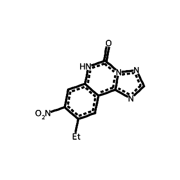 CCc1cc2c(cc1[N+](=O)[O-])[nH]c(=O)n1ncnc21